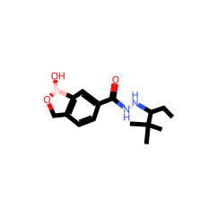 CCC(NNC(=O)c1ccc2c(c1)B(O)OC2)C(C)(C)C